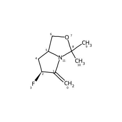 C=C1[C@@H](F)CC2COC(C)(C)N12